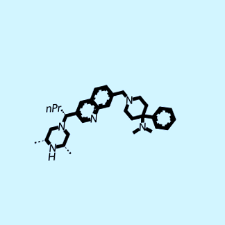 CCC[C@H](c1cnc2cc(CN3CCC(c4ccccc4)(N(C)C)CC3)ccc2c1)N1C[C@@H](C)N[C@@H](C)C1